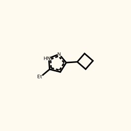 [CH2]Cc1cc(C2CCC2)n[nH]1